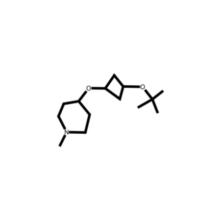 CN1CCC(OC2CC(OC(C)(C)C)C2)CC1